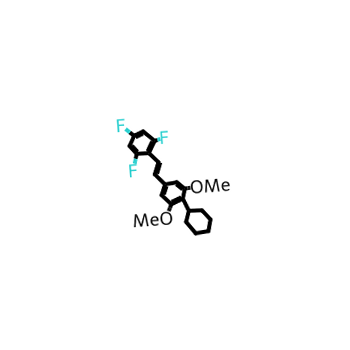 COc1cc(C=Cc2c(F)cc(F)cc2F)cc(OC)c1C1CCCCC1